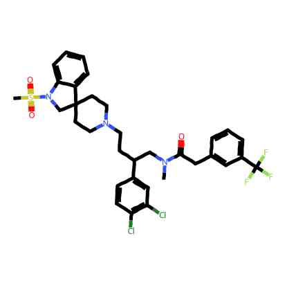 CN(CC(CCN1CCC2(CC1)CN(S(C)(=O)=O)c1ccccc12)c1ccc(Cl)c(Cl)c1)C(=O)Cc1cccc(C(F)(F)F)c1